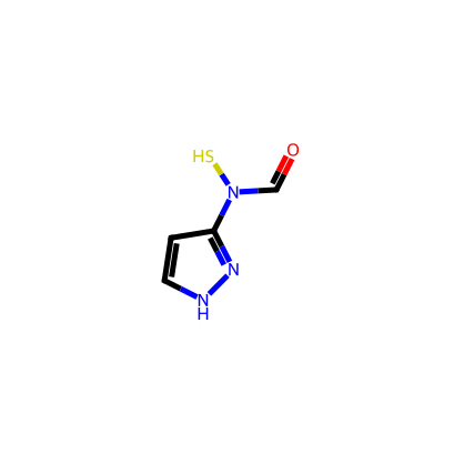 O=CN(S)c1cc[nH]n1